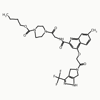 CCCCOC(=O)N1CCN(C(=O)CNC(=O)c2cc(OCC(=O)N3Cc4[nH]nc(C(F)(F)F)c4C3)c3ccc(C)cc3n2)CC1